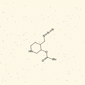 CC(C)(C)C(=O)OC1CNCCC1CN=[N+]=[N-]